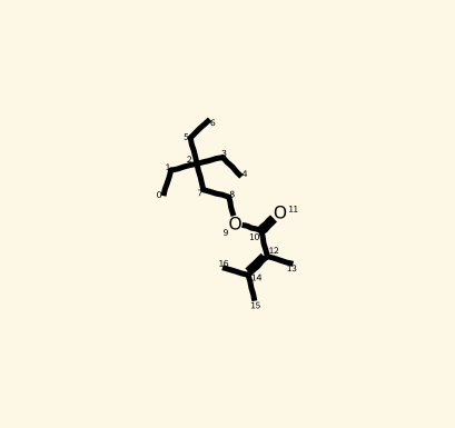 CCC(CC)(CC)CCOC(=O)C(C)=C(C)C